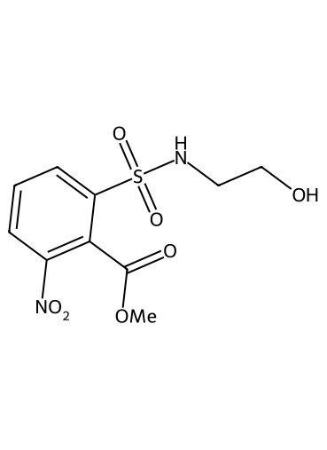 COC(=O)c1c([N+](=O)[O-])cccc1S(=O)(=O)NCCO